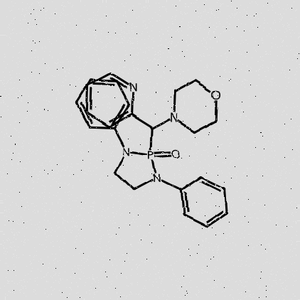 O=P1(C(c2ccccn2)N2CCOCC2)N(c2ccccc2)CCN1c1ccccc1